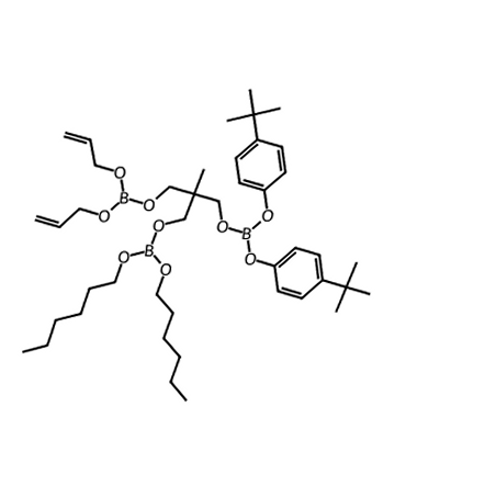 C=CCOB(OCC=C)OCC(C)(COB(OCCCCCC)OCCCCCC)COB(Oc1ccc(C(C)(C)C)cc1)Oc1ccc(C(C)(C)C)cc1